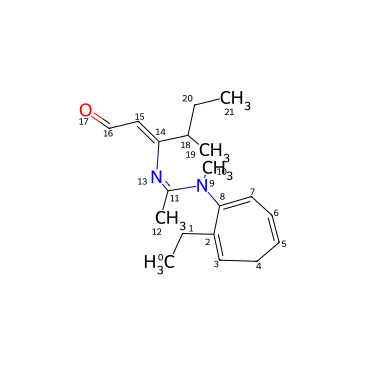 CCC1=CCC=CC=C1N(C)/C(C)=N\C(=C/C=O)C(C)CC